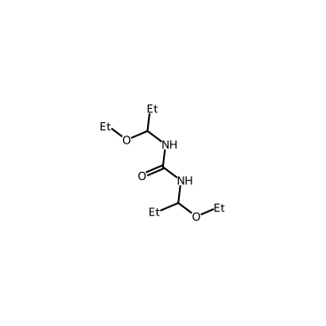 CCOC(CC)NC(=O)NC(CC)OCC